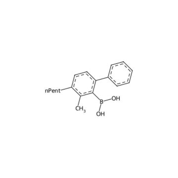 CCCCCc1ccc(-c2ccccc2)c(B(O)O)c1C